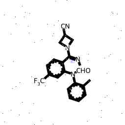 C/N=C(\c1ccc(C(F)(F)F)cc1N(C=O)c1ccccc1C)N1CC(C#N)C1